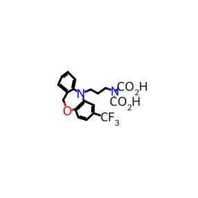 O=C(O)N(CCCN1c2ccccc2COc2ccc(C(F)(F)F)cc21)C(=O)O